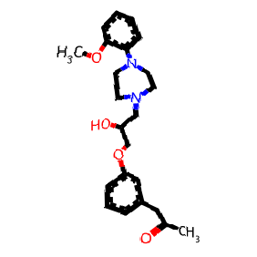 COc1ccccc1N1CCN(CC(O)COc2cccc(CC(C)=O)c2)CC1